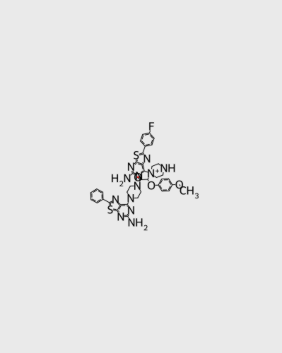 COc1ccc(OC(C(=O)N2CCN(c3nc(N)nc4sc(-c5ccccc5)nc34)CC2)[N+]2(c3nc(N)nc4sc(-c5ccc(F)cc5)nc34)CCNCC2)cc1